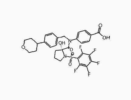 O=C(O)c1ccc(N(Cc2ccc(C3CCOCC3)cc2)C(=O)[C@]2(O)CCCN2S(=O)(=O)c2c(F)c(F)c(F)c(F)c2F)cc1